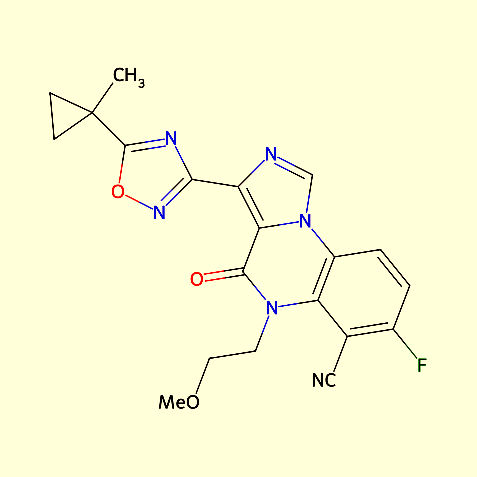 COCCn1c(=O)c2c(-c3noc(C4(C)CC4)n3)ncn2c2ccc(F)c(C#N)c21